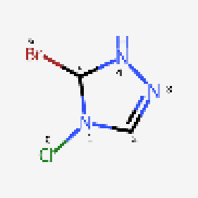 ClN1C=NNC1Br